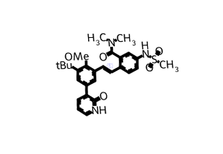 COc1c(/C=C/c2ccc(NS(C)(=O)=O)cc2C(=O)N(C)C)cc(-c2ccc[nH]c2=O)cc1C(C)(C)C